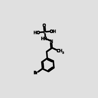 C/C(Cc1cccc(Br)c1)=N/NP(=O)(O)O